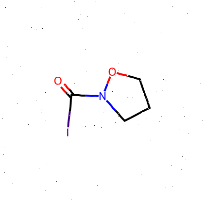 O=C(I)N1CCCO1